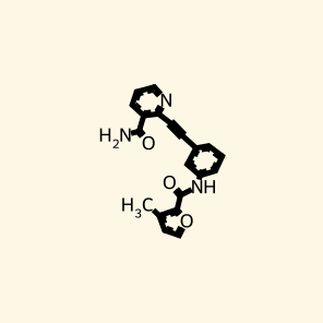 Cc1ccoc1C(=O)Nc1cccc(C#Cc2ncccc2C(N)=O)c1